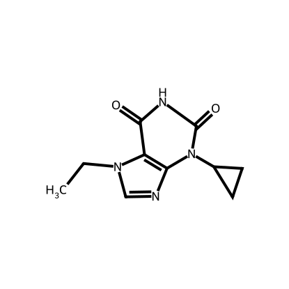 CCn1cnc2c1c(=O)[nH]c(=O)n2C1CC1